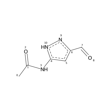 CC(=O)Nc1cc(C=O)n[nH]1